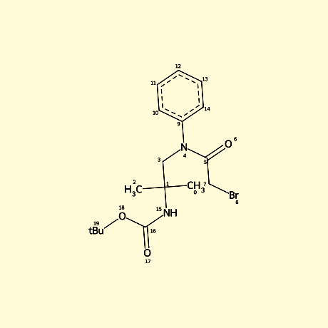 CC(C)(CN(C(=O)CBr)c1ccccc1)NC(=O)OC(C)(C)C